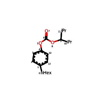 CCCCCCc1ccc(OC(=O)OC(C(C)C)C(C)C)cc1